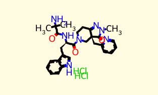 CN1N=C2CCN(C(=O)[C@@H](Cc3c[nH]c4ccccc34)NC(=O)C(C)(C)N)C[C@@]2(Cc2ccccn2)C1=O.Cl.Cl